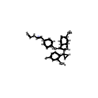 Cc1cc(F)ccc1C1(c2sc3cc(O)ccc3c2Oc2ccc(/C=C/OC=O)cc2)CC1